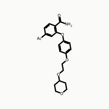 CC(=O)c1ccc(C(N)=O)c(Oc2ccc(OCCOC3CCOCC3)cc2)c1